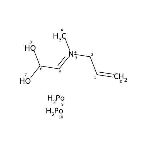 C=CC[N+](C)=CC(O)O.[PoH2].[PoH2]